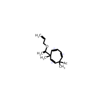 C=CCOC(=C)C1(C)/C=C\C=C/C(C)(C(C)=O)/C=C\1